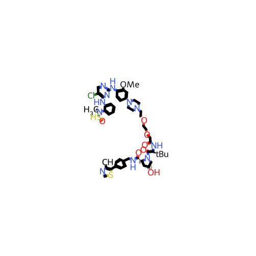 COc1cc(N2CCN(CCOCCOCC(=O)N[C@H](C(=O)N3C[C@H](O)C[C@@H]3C(=O)NCc3ccc(-c4scnc4C)cc3)C(C)(C)C)CC2)ccc1Nc1ncc(Cl)c(Nc2ccccc2N(C)[SH]=O)n1